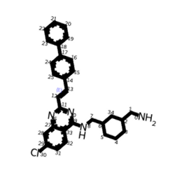 NCC1CCCC(CNc2nc(/C=C/c3ccc(-c4ccccc4)cc3)nc3cc(Cl)ccc23)C1